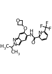 CC(C)n1cc2cc(NC(=O)c3cccc(C(F)(F)F)n3)c(OC3COC3)cc2n1